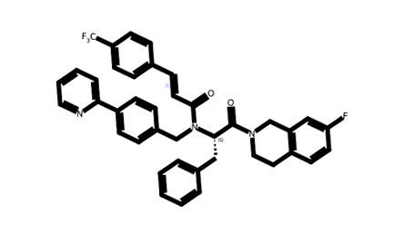 O=C([C@H](Cc1ccccc1)N(Cc1ccc(-c2ccccn2)cc1)C(=O)/C=C/c1ccc(C(F)(F)F)cc1)N1CCc2ccc(F)cc2C1